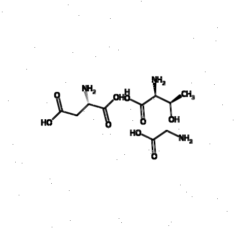 C[C@@H](O)[C@H](N)C(=O)O.NCC(=O)O.N[C@@H](CC(=O)O)C(=O)O